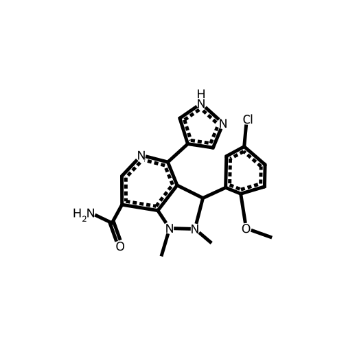 COc1ccc(Cl)cc1C1c2c(-c3cn[nH]c3)ncc(C(N)=O)c2N(C)N1C